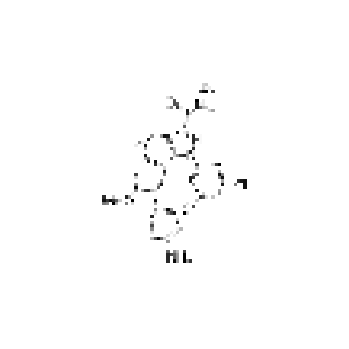 COc1cc2c(cc1-c1ccc(N)cc1)-c1c(c(C(=O)N(C)C(C)(C)C)nn1-c1cc(Cl)cc(Cl)c1)CO2